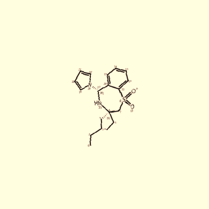 CCCC[C@@]1(CC)CS(=O)(=O)c2ccccc2[C@@H](n2cccc2)N1